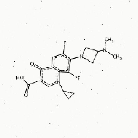 CN(C)C1CN(c2c(F)cc3c(=O)c(C(=O)O)cn(C4CC4)c3c2F)C1